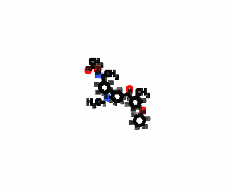 CCn1c2ccc(C(=O)c3ccc(OC4CCCCC4)cc3C)cc2c2cc(/C(C)=N/OC(C)=O)ccc21